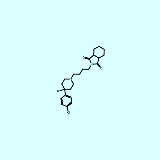 O=C1C2CCCCC2C(=O)N1CCCCN1CCC(O)(c2ccc(Cl)cc2)CC1